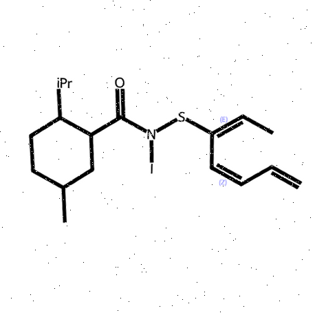 C=C/C=C\C(=C/C)SN(I)C(=O)C1CC(C)CCC1C(C)C